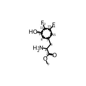 COC(=O)C(N)Cc1cc(O)c(F)c(F)c1